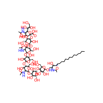 CCCCCCCCCCCCC/C=C/[C@@H](O)[C@H](CO[C@@H]1O[C@H](CO)[C@@H](O[C@@H]2O[C@H](CO)[C@H](O)[C@H](O[C@@H]3O[C@H](CO)[C@@H](O[C@@H]4O[C@H](CO)[C@H](O)[C@H](O[C@@H]5O[C@H](CO)[C@@H](O[C@@H]6O[C@H](CO)[C@H](O)[C@H](O[C@]7(C(=O)O)C[C@H](O)[C@@H](NC(C)=O)[C@H]([C@H](O)[C@H](O)CO)O7)[C@H]6O)[C@H](O)[C@H]5NC(C)=O)[C@H]4O)[C@H](O)[C@H]3NC(C)=O)[C@H]2O)[C@H](O)[C@H]1O)NC(C)=O